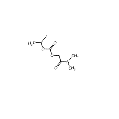 CC(I)OC(=O)OCC(=O)N(C)C